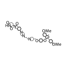 COc1ccc(-c2sc3cc(OC)ccc3c2Oc2ccc(OCC3CCN(CCCN4CCN(c5ccc6c(c5)CN(C5CCC(=O)NC5=O)C6=O)CC4)CC3)cc2)cc1